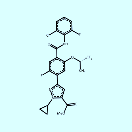 COC(=O)c1cc(-c2cc(O[C@@H](C)C(F)(F)F)c(C(=O)Nc3c(F)cccc3Cl)cc2F)nn1C1CC1